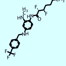 CCCC[C@@H](F)[C@@H](F)C(=O)Nc1ccc(NCc2ccc(C(F)(F)F)cc2)cc1NC